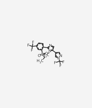 CCS(=O)(=O)c1cc(C(F)(F)F)ccc1-c1ncc(-c2cnn(C(F)(F)F)c2)n1C